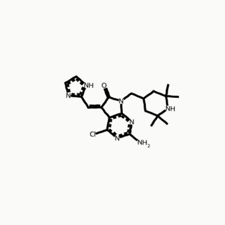 CC1(C)CC(CN2C(=O)/C(=C\c3ncc[nH]3)c3c(Cl)nc(N)nc32)CC(C)(C)N1